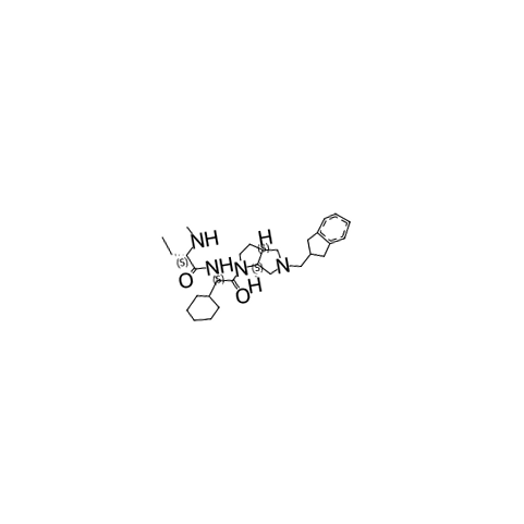 CC[C@H](NC)C(=O)N[C@H](C(=O)N1CC[C@H]2CN(CC3Cc4ccccc4C3)C[C@H]21)C1CCCCC1